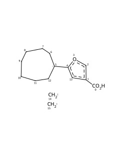 O=C(O)c1coc([C]2CCCCCCC2)c1.[CH2].[CH2]